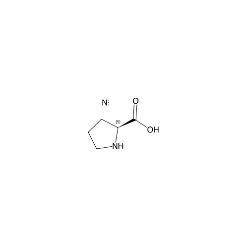 O=C(O)[C@@H]1CCCN1.[N]